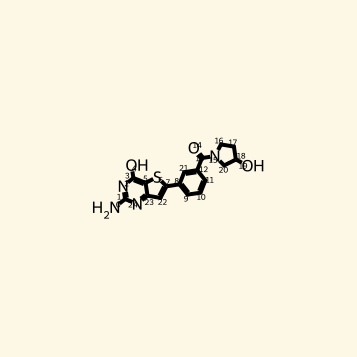 Nc1nc(O)c2sc(-c3cccc(C(=O)N4CCC(O)C4)c3)cc2n1